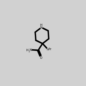 CCCC1(C(N)=O)CCNCC1